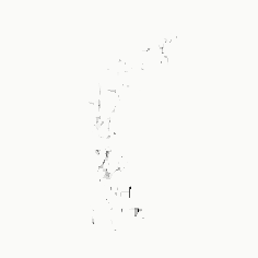 COc1ccccc1Nc1nnc(-c2nc3cc([C@H]4CC[C@H](CC(=O)O)CC4)ccc3[nH]2)o1